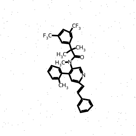 Cc1ccccc1-c1cc(C=Cc2ccccc2)ncc1N(C)C(=O)C(C)(C)c1cc(C(F)(F)F)cc(C(F)(F)F)c1